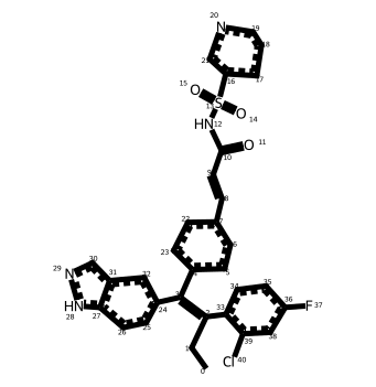 CC/C(=C(/c1ccc(/C=C/C(=O)NS(=O)(=O)c2cccnc2)cc1)c1ccc2[nH]ncc2c1)c1ccc(F)cc1Cl